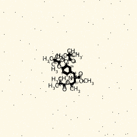 COC(=O)[C@](N)(Cc1ccc(OC(=O)C(C)(C)C)c(OC(=O)C(C)(C)C)c1)CC(C)OC(=O)C(C)C